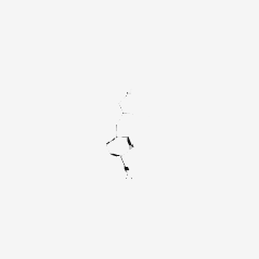 C#CCC(O)Cc1ccc(C#N)cc1